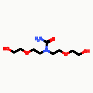 NC(=O)N(CCOCCO)CCOCCO